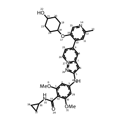 COc1cc(Nc2cc3cc(-c4cc(C)ncc4OC4CCC(O)CC4)ccn3n2)cc(OC)c1C(=O)NC1CC1